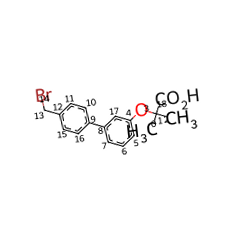 CC(C)(Oc1cccc(-c2ccc(CBr)cc2)c1)C(=O)O